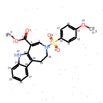 CC(C)OC(=O)C1=CN(S(=O)(=O)c2ccc(OC(F)(F)F)cc2)CCc2c1[nH]c1ccccc21